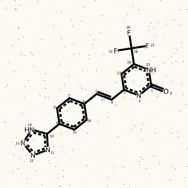 O=c1nc(/C=C/c2ccc(-c3nnn[nH]3)cc2)cc(C(F)(F)F)[nH]1